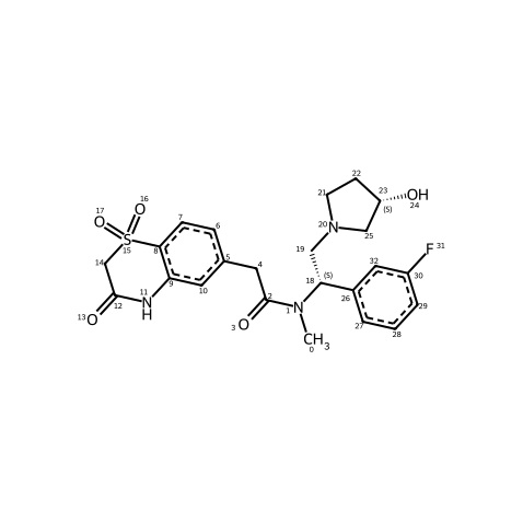 CN(C(=O)Cc1ccc2c(c1)NC(=O)CS2(=O)=O)[C@H](CN1CC[C@H](O)C1)c1cccc(F)c1